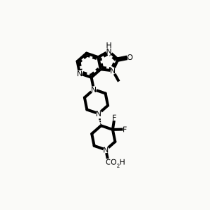 Cn1c(=O)[nH]c2ccnc(N3CCN([C@H]4CCN(C(=O)O)CC4(F)F)CC3)c21